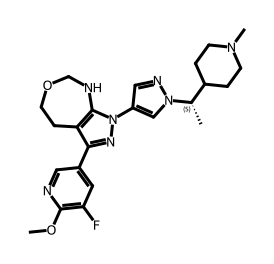 COc1ncc(-c2nn(-c3cnn([C@@H](C)C4CCN(C)CC4)c3)c3c2CCOCN3)cc1F